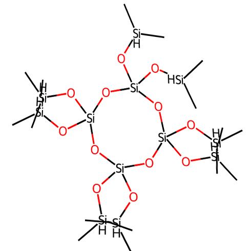 C[SiH](C)O[Si]1(O[SiH](C)C)O[Si](O[SiH](C)C)(O[SiH](C)C)O[Si](O[SiH](C)C)(O[SiH](C)C)O[Si](O[SiH](C)C)(O[SiH](C)C)O1